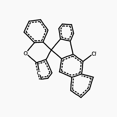 Clc1c2c(cc3ccccc13)C1(c3ccccc3Oc3ccccc31)c1ccccc1-2